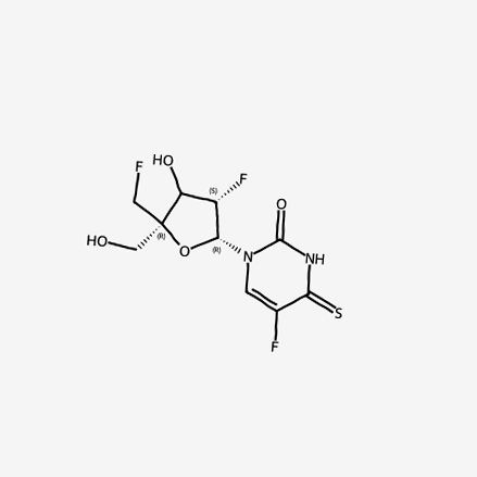 O=c1[nH]c(=S)c(F)cn1[C@@H]1O[C@@](CO)(CF)C(O)[C@@H]1F